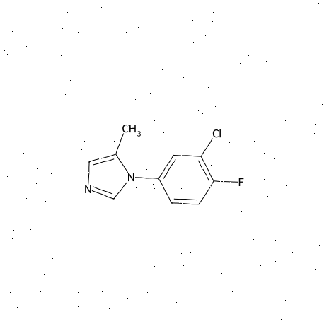 Cc1cncn1-c1ccc(F)c(Cl)c1